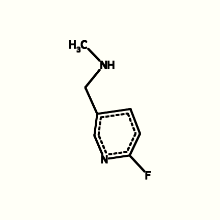 CNCc1ccc(F)nc1